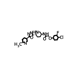 Cc1ccc(-c2nnc([C@H]3CC[C@H](NC(=O)COc4ccc(Cl)c(F)c4)CN3)o2)cn1